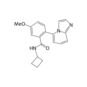 COc1ccc(-c2cccc3nccn23)c(C(=O)NC2CCC2)c1